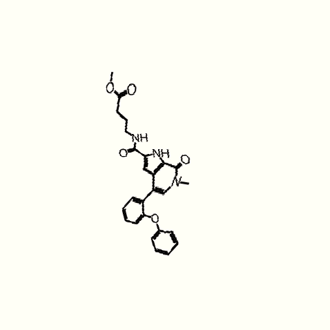 COC(=O)CCCNC(=O)c1cc2c(-c3ccccc3Oc3ccccc3)cn(C)c(=O)c2[nH]1